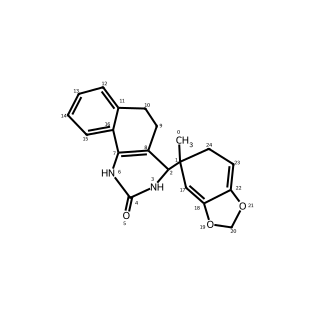 CC1(C2NC(=O)NC3=C2CCc2ccccc23)C=C2OCOC2=CC1